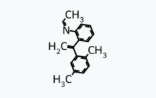 C=C(c1cc(C)ccc1C)c1ccccc1/N=C\C